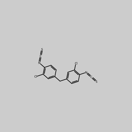 S=C=Nc1ccc(Cc2ccc(N=C=S)c(Cl)c2)cc1Cl